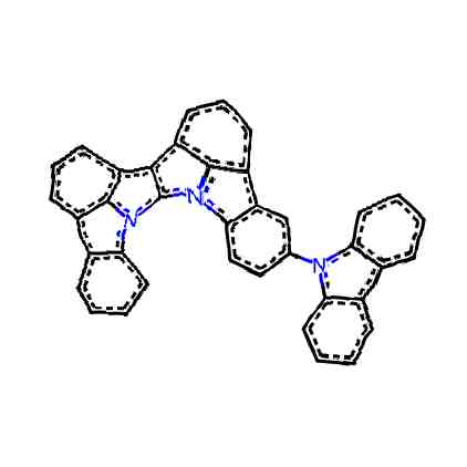 c1ccc2c(c1)c1ccccc1n2-c1ccc2c(c1)c1cccc3c4c5cccc6c7ccccc7n(c65)c4n2c13